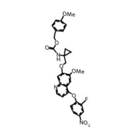 COc1ccc(COC(=O)NC2(COc3cc4nccc(Oc5ccc([N+](=O)[O-])cc5F)c4cc3OC)CC2)cc1